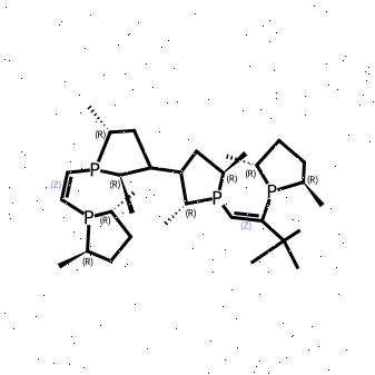 C[C@@H]1CC[C@@H](C)P1/C=C\P1[C@H](C)CC(C2C[C@@H](C)P(/C=C(\P3[C@H](C)CC[C@H]3C)C(C)(C)C)[C@@H]2C)[C@H]1C